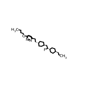 CCCCOc1ccc(CC[C@H]2CC[C@H](CC(F)[C@H]3CC[C@H](CCC)CC3)CC2)nn1